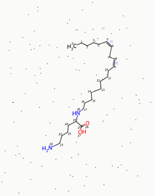 CCCCC/C=C\C/C=C\CCCCCCCCNC(CCCCN)C(=O)O